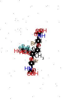 Cc1c(COc2ccc(CNC(CO)C(=O)O)cc2Br)cccc1-c1cccc(COc2ccc(CNC(CO)C(=O)O)cc2Br)c1C.O=C(O)C(F)(F)F.O=C(O)C(F)(F)F